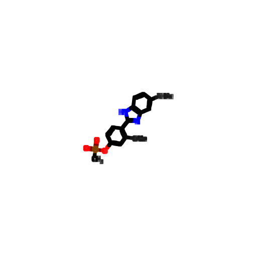 COc1cc(OS(C)(=O)=O)ccc1-c1nc2cc(NC(C)=O)ccc2[nH]1